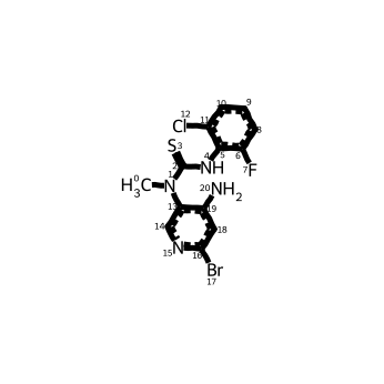 CN(C(=S)Nc1c(F)cccc1Cl)c1cnc(Br)cc1N